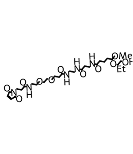 CCC(CO)OC(CCCC(=O)NCCC(=O)NCCNC(=O)CCOCCOCCNC(=O)CCN1C(=O)C=CC1=O)OC